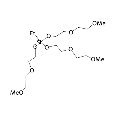 CC[Si](OCCOCCOC)(OCCOCCOC)OCCOCCOC